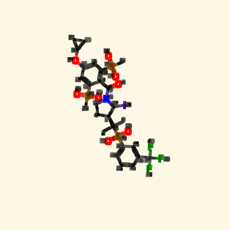 CC(C)([C@H]1CCN(C(=O)c2c(S(C)(=O)=O)cc(OC3CC3)cc2S(C)(=O)=O)C1I)S(=O)(=O)c1cccc(C(F)(F)F)c1